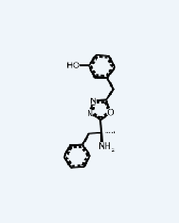 C[C@](N)(Cc1ccccc1)c1nnc(Cc2cccc(O)c2)o1